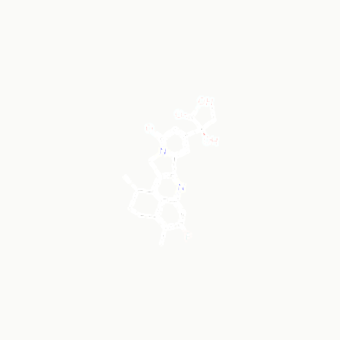 CC[C@@](O)(C(=O)O)c1cc2n(c(=O)c1)Cc1c-2nc2cc(F)c(C)c3c2c1[C@@H](C)CC3